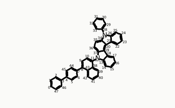 c1ccc(-c2ccc(-c3ccc(-n4c5ccccc5c5c6c7ccccc7n(-c7ccccc7)c6ccc54)c4ccccc34)cc2)cc1